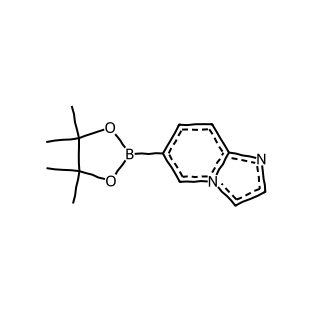 CC1(C)OB(c2ccc3nccn3c2)OC1(C)C